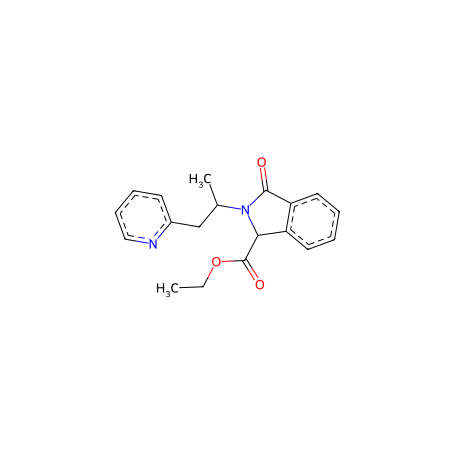 CCOC(=O)C1c2ccccc2C(=O)N1C(C)Cc1ccccn1